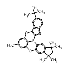 Cc1cc2c3c(c1)Oc1c(sc4ccc(C(C)(C)C)cc14)B3c1cc3c(cc1O2)C(C)(C)CC3(C)C